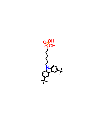 CC(C)(C)c1ccc2c(c1)c1cc(C(C)(C)C)ccc1n2CCCCCCOP(=O)(O)O